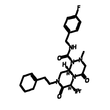 CC(C)[C@H]1C(=O)N(CCC2=CCCCC2)C[C@H]2N1C(=O)CN(C)N2C(=O)NCc1ccc(F)cc1